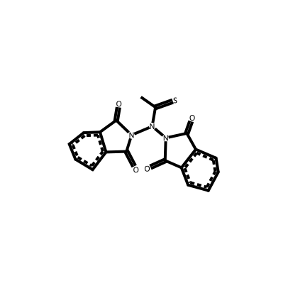 CC(=S)N(N1C(=O)c2ccccc2C1=O)N1C(=O)c2ccccc2C1=O